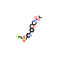 CC(C)OC(=O)N1CCC2(CCc3cc(-c4ccc(CS(=O)(=O)CCC(F)(F)F)cn4)ccc3O2)CC1